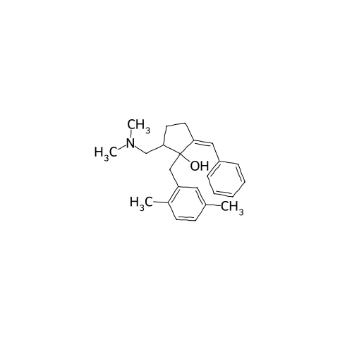 Cc1ccc(C)c(CC2(O)/C(=C\c3ccccc3)CCC2CN(C)C)c1